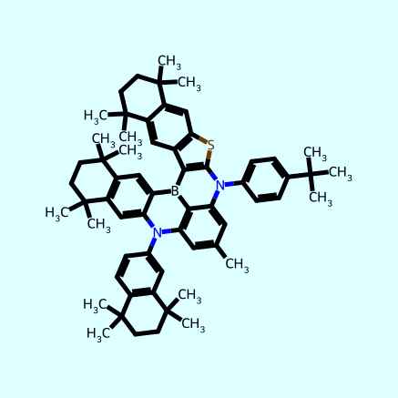 Cc1cc2c3c(c1)N(c1ccc(C(C)(C)C)cc1)c1sc4cc5c(cc4c1B3c1cc3c(cc1N2c1ccc2c(c1)C(C)(C)CCC2(C)C)C(C)(C)CCC3(C)C)C(C)(C)CCC5(C)C